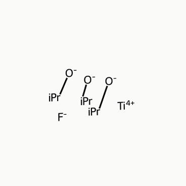 CC(C)[O-].CC(C)[O-].CC(C)[O-].[F-].[Ti+4]